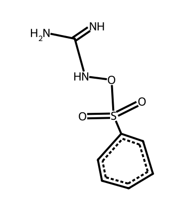 N=C(N)NOS(=O)(=O)c1ccccc1